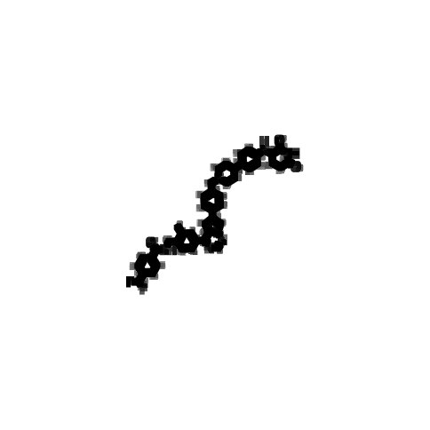 Cc1cc(-c2ncnn3cc(-c4ccc(CN5CCC(c6ccc(NC7CCC(=O)NC7=O)cc6)CC5)cc4)cc23)ccc1CNC(=O)c1ccc(C(F)F)cc1